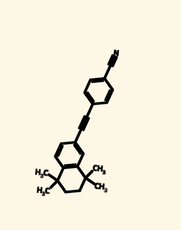 CC1(C)CCC(C)(C)c2cc(C#Cc3ccc(C#N)cc3)ccc21